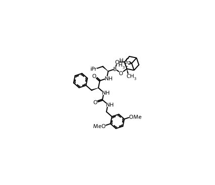 COc1ccc(OC)c(CNC(=O)N[C@@H](Cc2ccccc2)C(=O)N[C@@H](CC(C)C)B2OC3CC4CC(C4(C)C)[C@]3(C)O2)c1